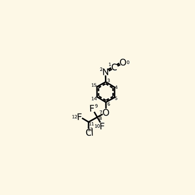 O=C=Nc1ccc(OC(F)(F)C(F)Cl)cc1